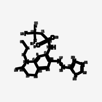 CCCN1c2cc(NS(=O)(=O)CC(F)(F)F)c(N=Nc3nncs3)cc2CCC1C